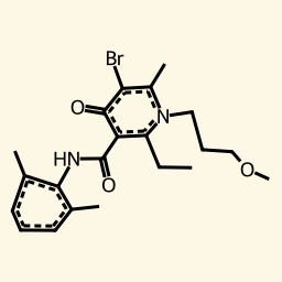 CCc1c(C(=O)Nc2c(C)cccc2C)c(=O)c(Br)c(C)n1CCCOC